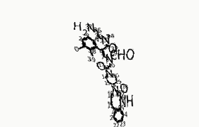 Cc1cccc(/C(=C/N(C=O)CC(=O)N2CCC(N3CCc4ccccc4NC3=O)CC2)C(=O)N(C)CCN)c1C